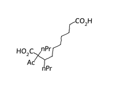 CCCC(CCCCCCC(=O)O)C(CCC)(C(C)=O)C(=O)O